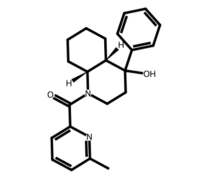 Cc1cccc(C(=O)N2CCC(O)(c3ccccc3)[C@H]3CCCC[C@H]32)n1